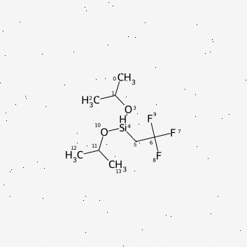 CC(C)O[SiH](CC(F)(F)F)OC(C)C